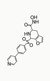 O=C(NO)C1Cc2ccoc2C(S(=O)(=O)c2ccc(-c3ccncc3)cc2)N1